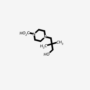 CC(C)(CO)CN1CCN(C(=O)O)CC1